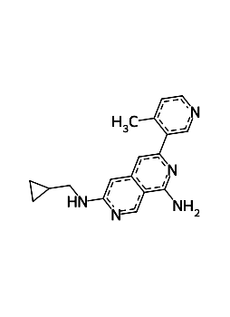 Cc1ccncc1-c1cc2cc(NCC3CC3)ncc2c(N)n1